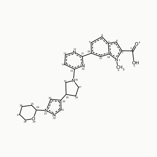 Cn1c(C(=O)O)cc2ccc(-c3nccc(N4CCC(c5cnn(C6CCCCO6)c5)C4)n3)cc21